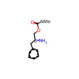 CNC(=O)OC[C@@H](N)Cc1ccccc1